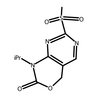 CC(C)N1C(=O)OCc2cnc(S(C)(=O)=O)nc21